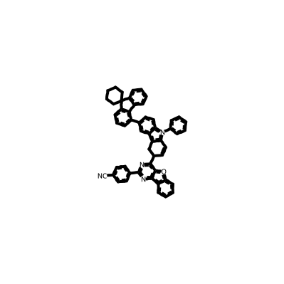 N#Cc1ccc(-c2nc(C3C=Cc4c(c5cc(-c6cccc7c6-c6ccccc6C76CCCCC6)ccc5n4-c4ccccc4)C3)c3oc4ccccc4c3n2)cc1